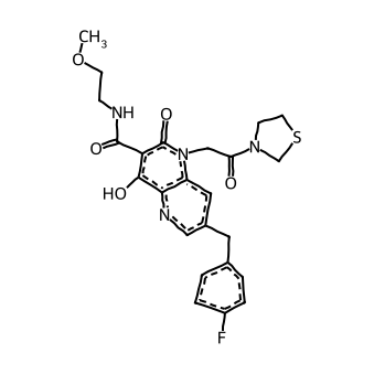 COCCNC(=O)c1c(O)c2ncc(Cc3ccc(F)cc3)cc2n(CC(=O)N2CCSC2)c1=O